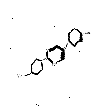 C[C@H]1CC[C@H](c2cnc([C@H]3CC[C@H](C#N)CC3)nc2)CC1